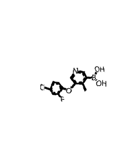 Cc1c(Oc2ccc(Cl)cc2F)cncc1B(O)O